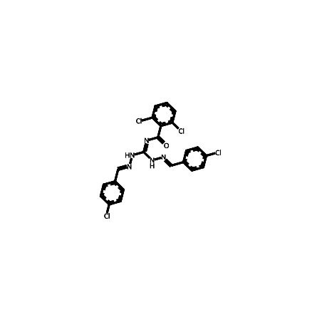 O=C(N=C(N/N=C/c1ccc(Cl)cc1)N/N=C/c1ccc(Cl)cc1)c1c(Cl)cccc1Cl